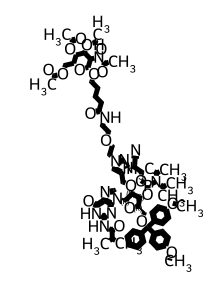 COc1ccc(C(OC[C@H]2O[C@@H](n3cnc4c(=O)[nH]c(NC(=O)C(C)C)nc43)[C@H](OCc3cn(CCOCCNC(=O)CCCCOC4OC(COC(C)=O)C(OC(C)=O)C(OC(C)=O)C4NC(C)=O)nn3)[C@@H]2OP(OCCC#N)N(C(C)C)C(C)C)(c2ccccc2)c2ccc(OC)cc2)cc1